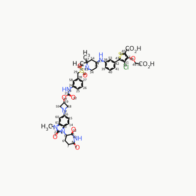 Cn1c(=O)n(C2CCC(=O)NC2=O)c2ccc(N3CC(OC(=O)Nc4cccc(CS(=O)(=O)N5CC[C@H](Nc6cccc(-c7sc(C(=O)O)c(OCC(=O)O)c7Cl)c6)CC5(C)C)c4)C3)cc21